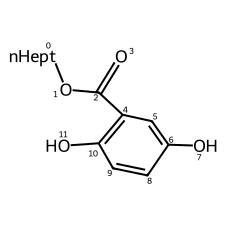 CCCCCCCOC(=O)c1cc(O)ccc1O